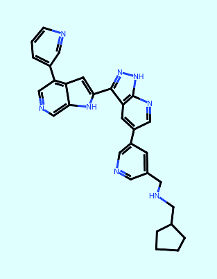 c1cncc(-c2cncc3[nH]c(-c4n[nH]c5ncc(-c6cncc(CNCC7CCCC7)c6)cc45)cc23)c1